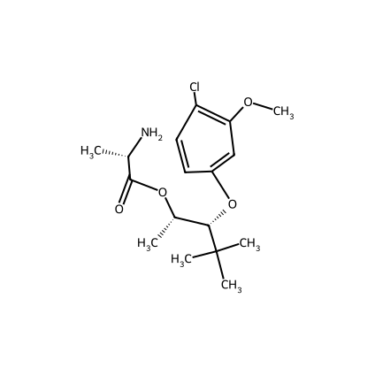 COc1cc(O[C@@H]([C@H](C)OC(=O)[C@H](C)N)C(C)(C)C)ccc1Cl